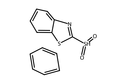 O=[SH](=O)c1nc2ccccc2s1.c1ccccc1